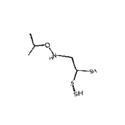 CC(C)ONCC(S)SS